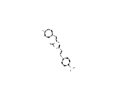 Cc1ccc(C=C2N=C(C=Cc3ccc(N(C)C)cc3)OC2=O)cc1